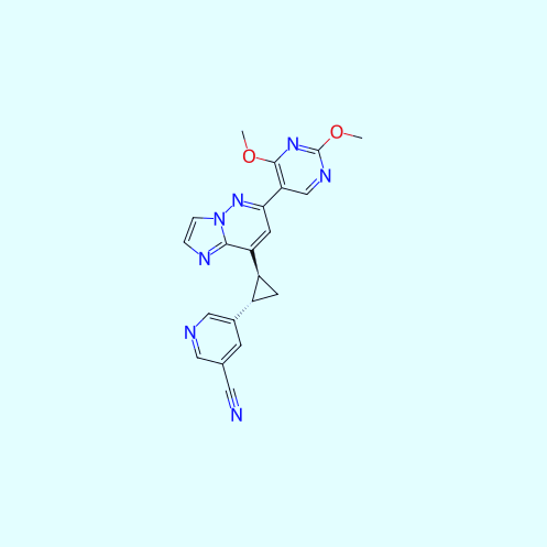 COc1ncc(-c2cc([C@H]3C[C@@H]3c3cncc(C#N)c3)c3nccn3n2)c(OC)n1